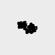 CC(C)(C)OC(=O)N(C(=O)OC(C)(C)C)c1nc(Cl)c2ncn([C@H]3C=C[C@@H](COC(=O)OC[C@@H]4C=C[C@H](n5cnc6c(Cl)nc(N(C(=O)OC(C)(C)C)C(=O)OC(C)(C)C)nc65)C4)C3)c2n1